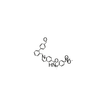 C[C@H](NC(=O)c1ccc2c(ccn2Cc2ccccc2-c2ccc(C=O)cc2)c1)c1ccc([N+](=O)[O-])cc1